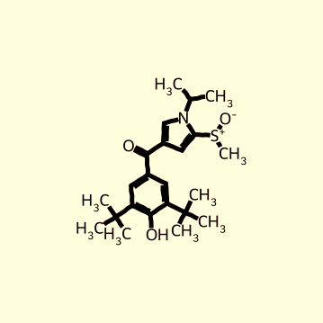 CC(C)n1cc(C(=O)c2cc(C(C)(C)C)c(O)c(C(C)(C)C)c2)cc1[S+](C)[O-]